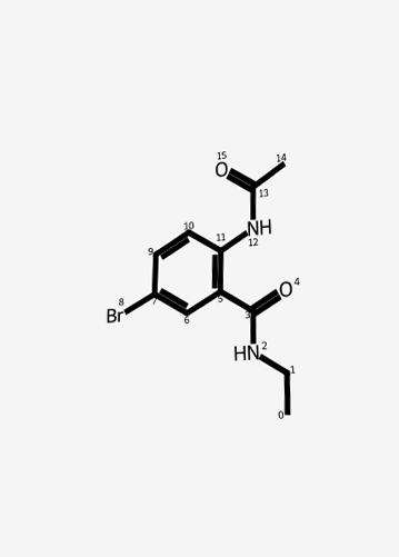 CCNC(=O)c1cc(Br)ccc1NC(C)=O